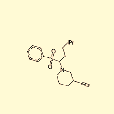 C#CC1CCCN(C(CCC(C)C)S(=O)(=O)c2ccccc2)C1